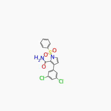 NC(=O)c1c(-c2cc(Cl)cc(Cl)c2)ccn1S(=O)(=O)c1ccccc1